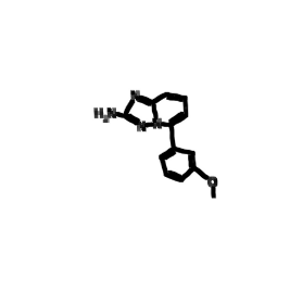 COc1cccc(-c2cccc3nc(N)nn23)c1